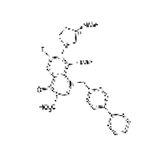 CN[C@@H]1CCN(c2c(F)cc3c(=O)c(C(=O)O)cn(Cc4ccc(-c5ccccc5)cc4)c3c2OC)C1